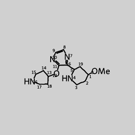 COC1CCNC(c2nccnc2OC2CCNCC2)C1